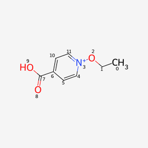 CCO[n+]1ccc(C(=O)O)cc1